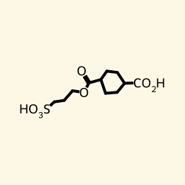 O=C(O)C1CCC(C(=O)OCCCS(=O)(=O)O)CC1